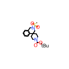 CC(C)(C)OC(=O)N1CCC2(CC1)CN(S(C)(=O)=O)Cc1ccccc12